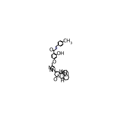 Cc1ccc(/C=C/C(=O)c2ccc(OCc3cn([C@H]4CC(=O)N5C[C@@H]6CCCN7CCC[C@@H]([C@H]67)[C@H]5C4)nn3)cc2O)cc1